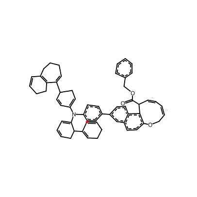 O=C(OCc1ccccc1)C1/C=C\C=C/COc2ccc3cc(-c4ccc(N(C5=CCC(C6=CCCCC7=C6CCC=C7)C=C5)C5=CC=CCC5C5=CCCC=C5)cc4)ccc3c21